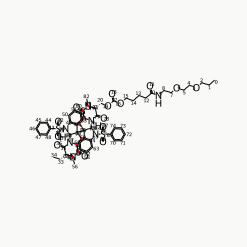 CCCOCCOCCNC(=O)CCCCOC(=O)OC[C@]12SS[C@@]3(C[C@]4([C@]56C[C@@]78SS[C@@](CC)(C(=O)N7[C@H]5N(S(=O)(=O)c5ccccc5)c5ccccc56)N(C)C8=O)c5ccccc5N(S(=O)(=O)c5ccccc5)[C@@H]4N3C1=O)C(=O)N2C